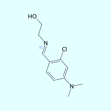 CN(C)c1ccc(/C=N/CCO)c(Cl)c1